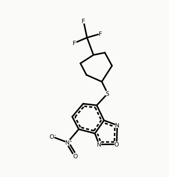 O=[N+]([O-])c1ccc(SC2CCC(C(F)(F)F)CC2)c2nonc12